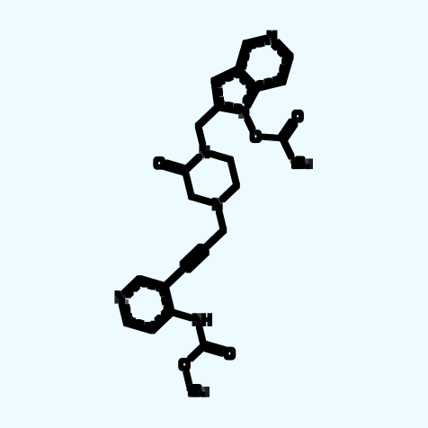 CC(C)(C)OC(=O)Nc1ccncc1C#CCN1CCN(Cc2cc3cnccc3n2OC(=O)C(C)(C)C)C(=O)C1